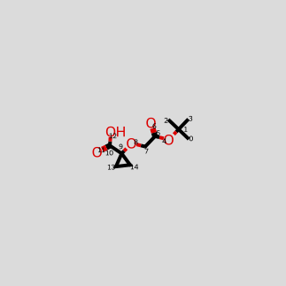 CC(C)(C)OC(=O)COC1(C(=O)O)CC1